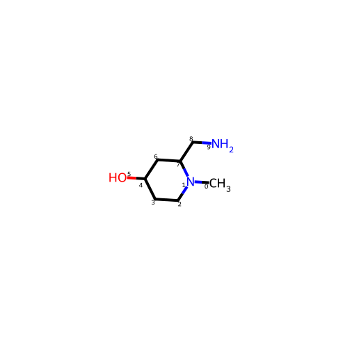 CN1CCC(O)CC1CN